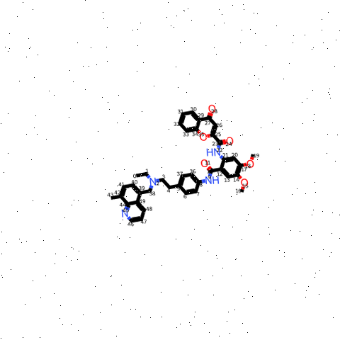 CCN(CCc1ccc(NC(=O)c2cc(OC)c(OC)cc2NC(=O)c2cc(=O)c3ccccc3o2)cc1)Cc1ccc(C)c2ncccc12